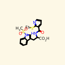 CCSc1ncccc1C(=O)NC(Cc1cn(S(C)(=O)=O)c2ccccc12)C(=O)O